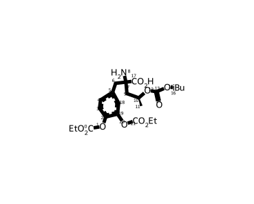 CCOC(=O)Oc1ccc(CC(N)(C[C@H](C)OC(=O)OC(C)CC)C(=O)O)cc1OC(=O)OCC